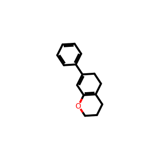 C1=C(c2ccccc2)CCC2=C1OCCC2